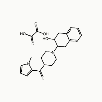 Cn1cccc1C(=O)C1CCN(C2Cc3ccccc3CC2O)CC1.O=C(O)C(=O)O